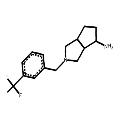 NC1CCC2CN(Cc3cccc(C(F)(F)F)c3)CC12